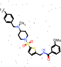 COc1cccc(C(=O)NCc2ccc(S(=O)(=O)N3CCC(N(C)Cc4ccc(C(F)(F)F)cc4)CC3)s2)c1